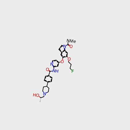 CNC(=O)n1ccc2cc(Oc3ccnc(NC(=O)c4ccc(C5CCN(C[C@H](C)O)CC5)cc4)c3)c(OCCCF)cc21